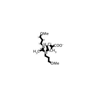 C=C(C)C(=O)[O-].COCCCn1cc[n+](CCCOC)c1C